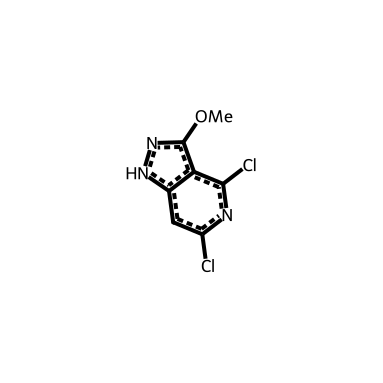 COc1n[nH]c2cc(Cl)nc(Cl)c12